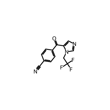 N#Cc1ccc(C(=O)c2cncn2CC(F)(F)F)cc1